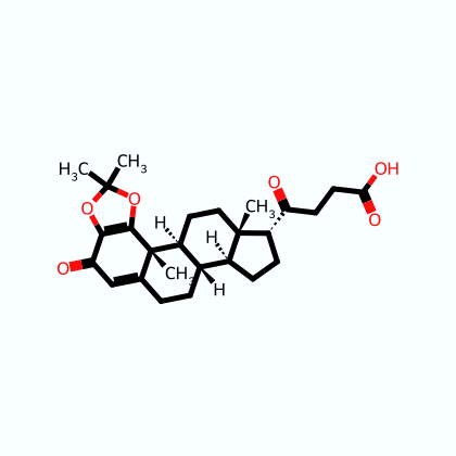 CC1(C)OC2=C(O1)[C@@]1(C)C(=CC2=O)CC[C@@H]2[C@@H]1CC[C@]1(C)[C@H](C(=O)CCC(=O)O)CC[C@@H]21